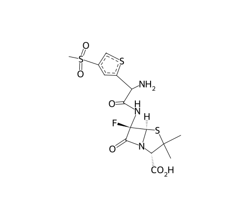 CC1(C)S[C@H]2N(C(=O)[C@]2(F)NC(=O)C(N)c2cc(S(C)(=O)=O)cs2)[C@H]1C(=O)O